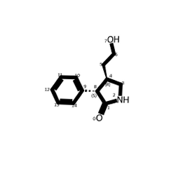 O=C1NC[C@H](CCO)[C@H]1c1ccccc1